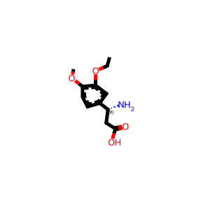 CCOc1cc([C@H](N)CC(=O)O)ccc1OC